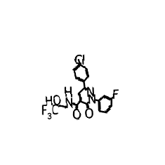 O=C(NCC(O)C(F)(F)F)c1cc(-c2ccc(Cl)cc2)nn(-c2cccc(F)c2)c1=O